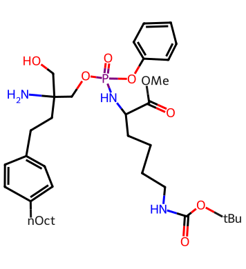 CCCCCCCCc1ccc(CCC(N)(CO)COP(=O)(NC(CCCCNC(=O)OC(C)(C)C)C(=O)OC)Oc2ccccc2)cc1